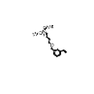 C=Cc1cccc(COCCCC[SiH](OC)OC)c1